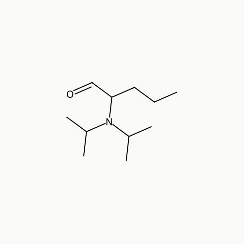 CCCC(C=O)N(C(C)C)C(C)C